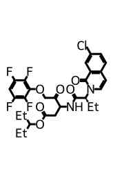 CCC(CC)OC(=O)CC(NC(=O)[C@H](CC)n1ccc2ccc(Cl)cc2c1=O)C(=O)COc1c(F)c(F)cc(F)c1F